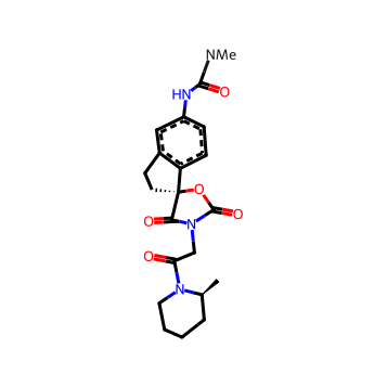 CNC(=O)Nc1ccc2c(c1)CC[C@@]21OC(=O)N(CC(=O)N2CCCC[C@@H]2C)C1=O